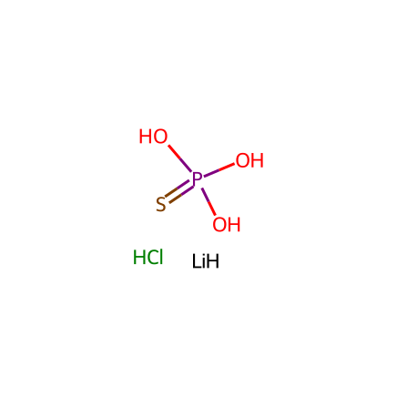 Cl.OP(O)(O)=S.[LiH]